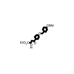 CCOC(=O)/C(O)=C/C(=O)c1ccc(OCc2ccc(OC)cc2)cc1